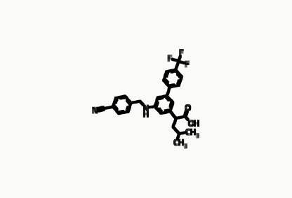 CC(C)CC(C(=O)O)c1cc(NCc2ccc(C#N)cc2)cc(-c2ccc(C(F)(F)F)cc2)c1